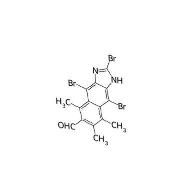 Cc1c(C=O)c(C)c2c(Br)c3nc(Br)[nH]c3c(Br)c2c1C